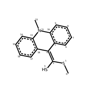 CSC(S)=C1c2ccccc2N(C)c2ccccc21